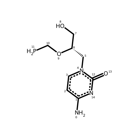 Nc1ccn(C[C@@H](CO)OCP)c(=O)n1